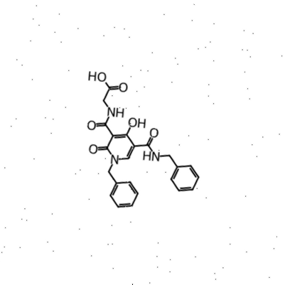 O=C(O)CNC(=O)c1c(O)c(C(=O)NCc2ccccc2)cn(Cc2ccccc2)c1=O